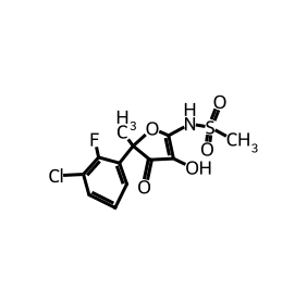 CC1(c2cccc(Cl)c2F)OC(NS(C)(=O)=O)=C(O)C1=O